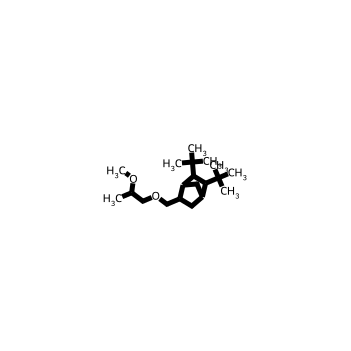 COC(C)COCC1CC2CC1C(C(C)(C)C)C2C(C)(C)C